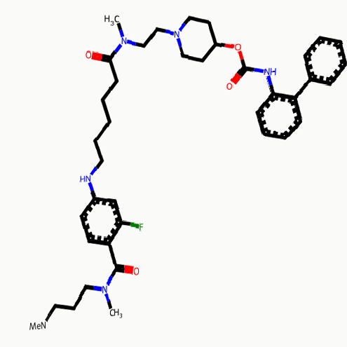 CNCCCN(C)C(=O)c1ccc(NCCCCCC(=O)N(C)CCN2CCC(OC(=O)Nc3ccccc3-c3ccccc3)CC2)cc1F